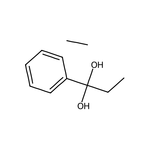 CC.CCC(O)(O)c1ccccc1